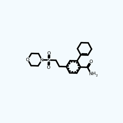 NC(=O)c1ccc(CCS(=O)(=O)N2CCOCC2)cc1C1=CCCCC1